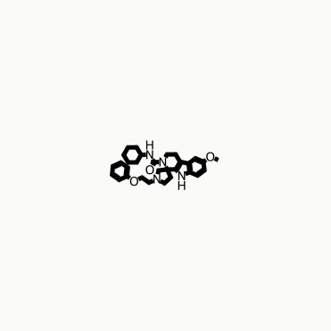 COc1ccc2[nH]c3c(c2c1)CCN(C(=O)NC1CCCCC1)C31CCN(CCOc2ccccc2)C1